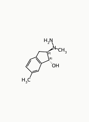 Cc1ccc2c(c1)[C@@H](O)[C@H](N(C)N)C2